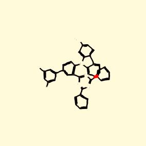 N#Cc1ccc2c3ccccc3n(-c3ccc(-c4cc(F)cc(F)c4)cc3-c3nc(-c4ccccc4)nc(-c4ccccc4)n3)c2c1